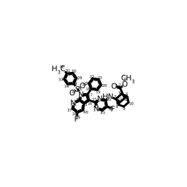 COC(=O)C1C2CCC(CC2)C1Nc1nc(-c2c(-c3ccccc3)n(S(=O)(=O)c3ccc(C)cc3)c3ncc(F)cc23)ncc1F